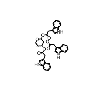 O=C(Cc1c[nH]c2ccccc12)O[C@@H]1OC[CH][C@@H](OC(=O)Cc2c[nH]c3ccccc23)[C@H]1OC(=O)Cc1c[nH]c2ccccc12